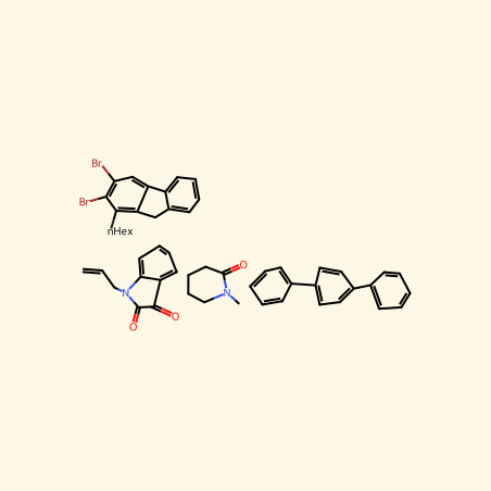 C=CCN1C(=O)C(=O)c2ccccc21.CCCCCCc1c(Br)c(Br)cc2c1Cc1ccccc1-2.CN1CCCCC1=O.c1ccc(-c2ccc(-c3ccccc3)cc2)cc1